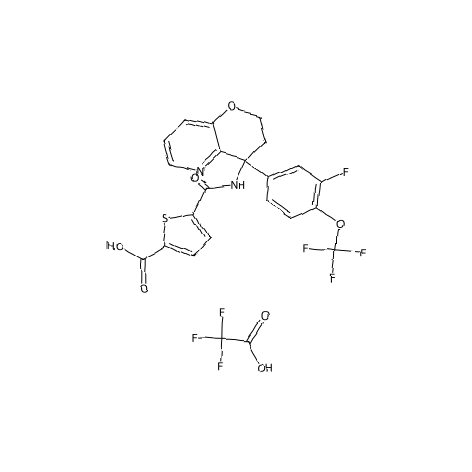 O=C(O)C(F)(F)F.O=C(O)c1ccc(C(=O)NC2(c3ccc(OC(F)(F)F)c(F)c3)CCOc3cccnc32)s1